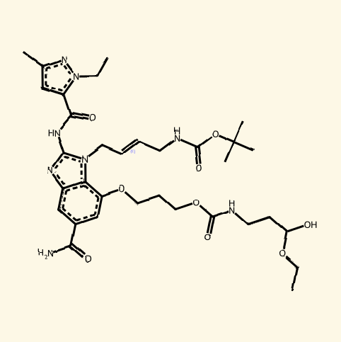 CCOC(O)CCNC(=O)OCCCOc1cc(C(N)=O)cc2nc(NC(=O)c3cc(C)nn3CC)n(C/C=C/CNC(=O)OC(C)(C)C)c12